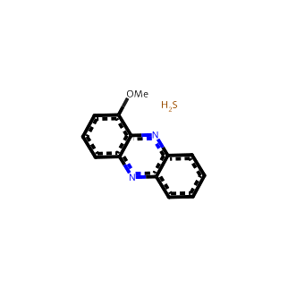 COc1cccc2nc3ccccc3nc12.S